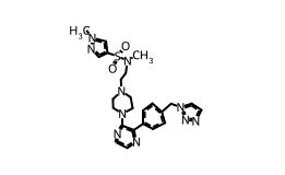 CN(CCN1CCN(c2nccnc2-c2ccc(Cn3ccnn3)cc2)CC1)S(=O)(=O)c1cnn(C)c1